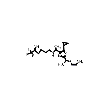 C=C(NCCCCC(=N)C(F)(F)F)c1nc(C(C)S/C=C\N)sc1C1CC1